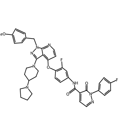 COc1ccc(Cn2nc(N3CCC(N4CCCC4)CC3)c3c(Oc4ccc(NC(=O)c5ccnn(-c6ccc(F)cc6)c5=O)cc4F)ccnc32)cc1